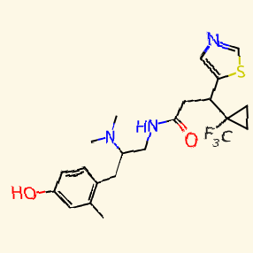 Cc1cc(O)ccc1CC(CNC(=O)CC(c1cncs1)C1(C(F)(F)F)CC1)N(C)C